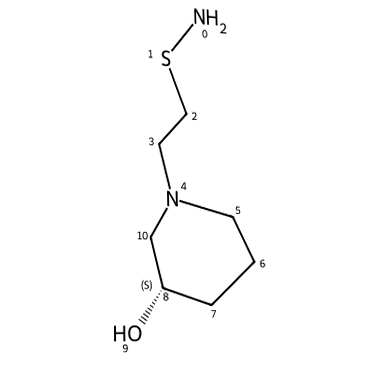 NSCCN1CCC[C@H](O)C1